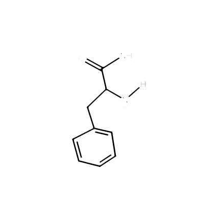 [2H]NC(Cc1ccccc1)C(N)=O